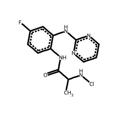 CC(NCl)C(=O)Nc1ccc(F)cc1Nc1ncccn1